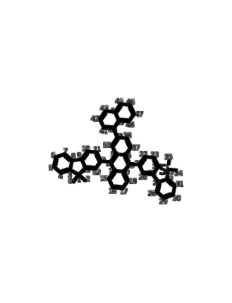 CC1(C)c2ccccc2-c2ccc(-c3c4ccccc4c(-c4ccc5c(c4)-c4ccccc4[Si]5(C)C)c4ccc(-c5cccc6ccccc56)cc34)cc21